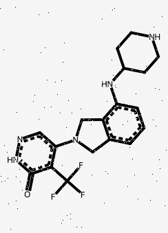 O=c1[nH]ncc(N2Cc3cccc(NC4CCNCC4)c3C2)c1C(F)(F)F